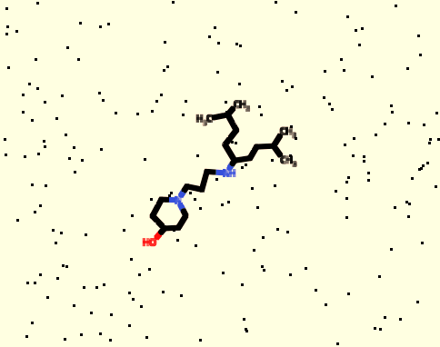 CC(C)CCC(CCC(C)C)NCCCN1CCC(O)CC1